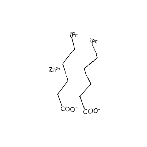 CC(C)CCCCC(=O)[O-].CC(C)CCCCC(=O)[O-].[Zn+2]